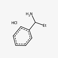 CCC(N)c1ccccc1.Cl